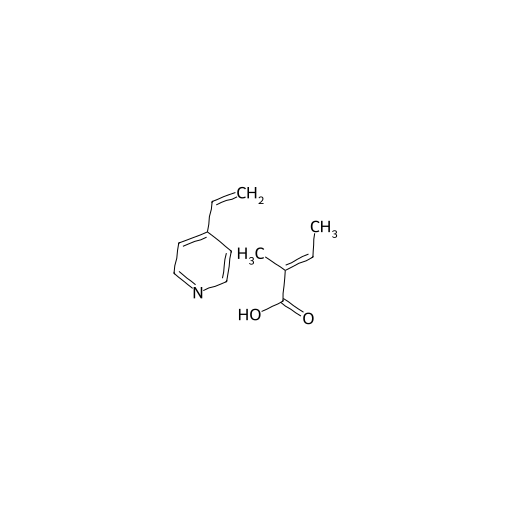 C/C=C(\C)C(=O)O.C=Cc1ccncc1